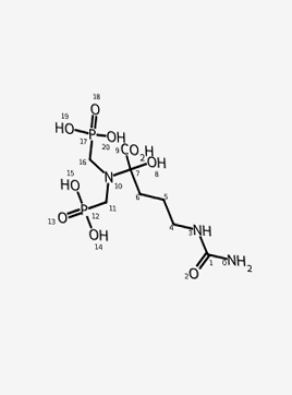 NC(=O)NCCCC(O)(C(=O)O)N(CP(=O)(O)O)CP(=O)(O)O